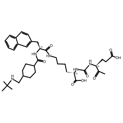 CC(=O)[C@H](CCC(=O)O)NC(=O)N[C@@H](CCCCNC(=O)[C@H](Cc1ccc2ccccc2c1)NC(=O)C1CCC(CNC(C)(C)C)CC1)C(=O)O